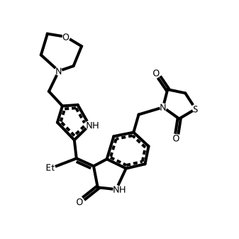 CCC(=C1C(=O)Nc2ccc(CN3C(=O)CSC3=O)cc21)c1cc(CN2CCOCC2)c[nH]1